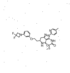 CSCC(=O)Nc1c2c(nn1-c1ccc(C)cn1)CC(CCOc1cccc(N3CC(F)(F)C3)c1)NC2=O